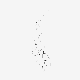 CCCCOC(=O)N1CC(CN(C)C2CCN(c3cccc4c3n(C)c(=O)n4C3CCC(=O)NC3=O)CC2)C1